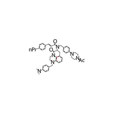 CCCc1ccc(C=CC(=O)N(Cc2ccc(N3CCN(C(C)=O)CC3)cc2)C(Cc2ccccc2)C(=O)N2CCN(Cc3ccc(N(C)C)cc3)CC2)cc1